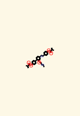 C=C(C)C(=O)Oc1ccc(/C=C/c2ccc(-c3ccc(OC(=O)C(=C)C)cc3)c(OC/C=C/C)c2)cc1